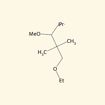 CCOCC(C)(C)C(OC)[C](C)C